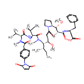 CC[C@H](C)[C@@H](C(CC(=O)N1CCC[C@H]1[C@H](OC)[C@@H](C)C(=O)N[C@@H](Cc1ccccc1)C(=O)O)OC)N(C)C(=O)[C@@H](NC(=O)[C@H](C(C)C)N(C)C(=O)c1ccc(N2C(=O)C=CC2=O)cc1)C(C)C